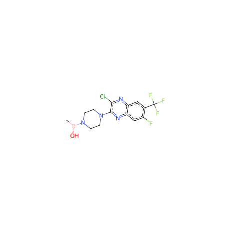 CB(O)N1CCN(c2nc3cc(F)c(C(F)(F)F)cc3nc2Cl)CC1